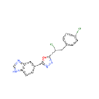 Clc1ccc(CC(Cl)c2nnc(-c3ccc4[nH]cnc4c3)o2)cc1